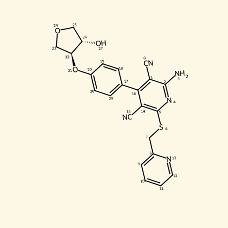 N#Cc1c(N)nc(SCc2ccccn2)c(C#N)c1-c1ccc(O[C@H]2COC[C@@H]2O)cc1